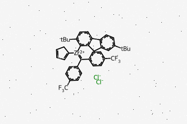 CC(C)(C)c1ccc2c(c1)Cc1c-2ccc(C(C)(C)C)[c]1[Zr+2]([C]1=CC=CC1)=[C](c1ccc(C(F)(F)F)cc1)c1ccc(C(F)(F)F)cc1.[Cl-].[Cl-]